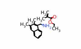 C=C(C)C(=O)OCC.Cc1cc2ccccc2c(CN)c1C